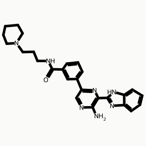 Nc1ncc(-c2cccc(C(=O)NCCCN3CCCCC3)c2)nc1-c1nc2ccccc2[nH]1